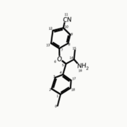 Cc1ccc(C(Oc2ccc(C#N)cc2)C(C)N)cc1